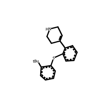 CC(C)(C)c1ccccc1Sc1ccccc1C1=CCNCC1